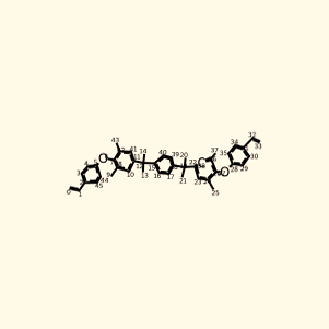 C=Cc1ccc(Oc2c(C)cc(C(C)(C)c3ccc(C(C)(C)c4cc(C)c(Oc5ccc(C=C)cc5)c(C)c4)cc3)cc2C)cc1